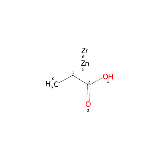 CCC(=O)O.[Zn].[Zr]